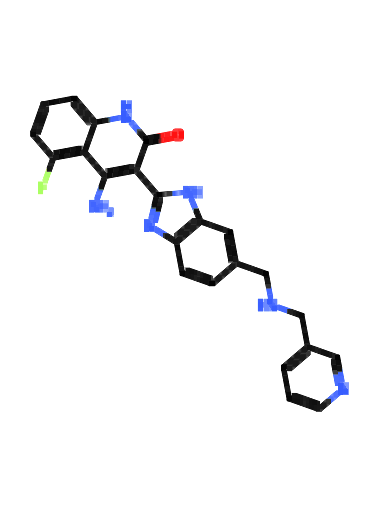 Nc1c(-c2nc3ccc(CNCc4cccnc4)cc3[nH]2)c(=O)[nH]c2cccc(F)c12